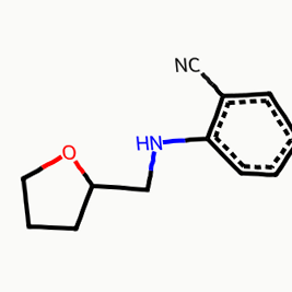 N#Cc1ccccc1NCC1CCCO1